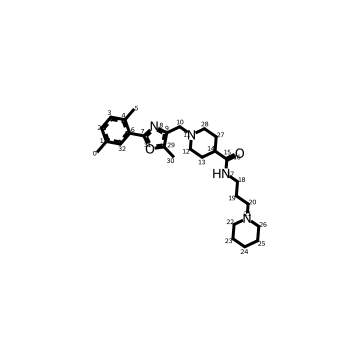 Cc1ccc(C)c(-c2nc(CN3CCC(C(=O)NCCCN4CCCCC4)CC3)c(C)o2)c1